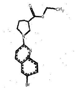 CCOC(=O)C1CCN(c2ccc3cc(Br)ccc3n2)C1